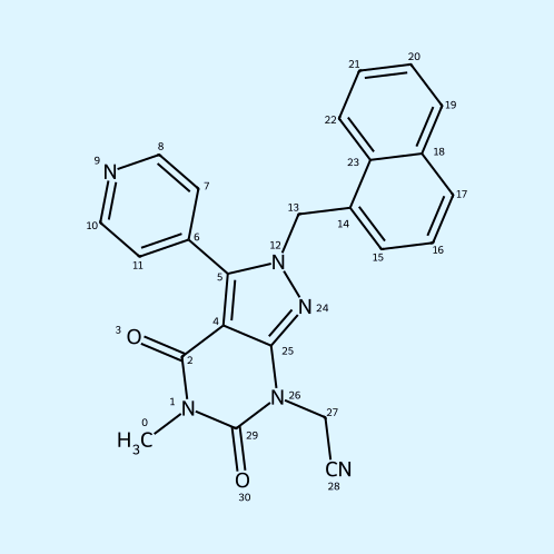 Cn1c(=O)c2c(-c3ccncc3)n(Cc3cccc4ccccc34)nc2n(CC#N)c1=O